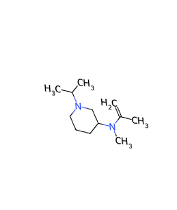 C=C(C)N(C)C1CCCN(C(C)C)C1